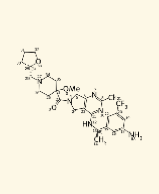 COC1(C(=O)N2Cc3nc(Cl)nc(N[C@H](C)c4cc(N)cc(C(F)(F)F)c4)c3C2)CCN(C[C@@H]2CCCO2)CC1